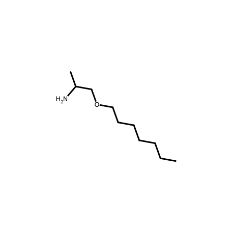 CCCCCCCOCC(C)N